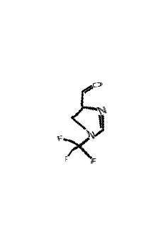 O=CC1CN(C(F)(F)F)C=N1